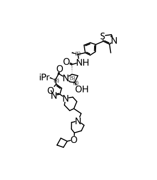 Cc1ncsc1-c1ccc([C@H](C)NC(=O)[C@@H]2C[C@@H](O)CN2C(=O)[C@@H](c2cc(N3CCC(CN4CCC(OC5CCC5)CC4)CC3)no2)C(C)C)cc1